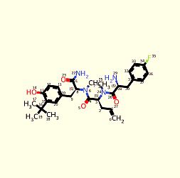 C=CC[C@@H](C(=O)N(C)[C@@H](Cc1ccc(O)c(C(C)(C)C)c1)C(N)=O)N(C)C(=O)[C@@H](N)Cc1ccc(F)cc1